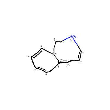 C1=CNCC2C=CC=CC2=C1